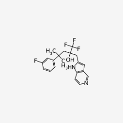 CC(C)(CC(O)(Cc1cc2cnccc2[nH]1)C(F)(F)F)c1cccc(F)c1